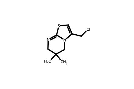 CC1(C)CN=C2SC=C(CCl)N2C1